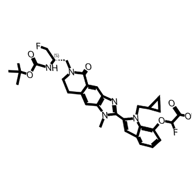 Cn1c(-c2cc3cccc(OC(F)C(=O)O)c3n2CC2CC2)nc2cc3c(cc21)CCN(C[C@@H](CF)NC(=O)OC(C)(C)C)C3=O